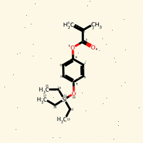 C=C(C)C(=O)Oc1ccc(O[Si](CC)(CC)CC)cc1